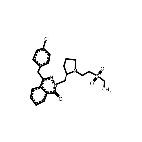 CCS(=O)(=O)CCN1CCC[C@@H]1Cn1nc(Cc2ccc(Cl)cc2)c2ccccc2c1=O